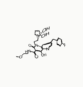 COCCNC(=O)c1c(O)c2ncc(Cc3ccc(F)cc3)cc2n(CCN2CCCS2(O)O)c1=O